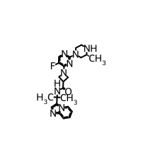 C[C@H]1CN(c2ncc(F)c(N3CC(C(=O)NC(C)(C)c4cnc5ccccn45)C3)n2)CCN1